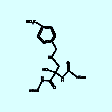 CCCCCCCCCC(=O)NC(O)(CNCc1ccc(C(=O)O)cc1)C(=O)NCCCCCC